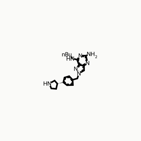 CCCCNc1nc(N)nc2cn(Cc3ccc([C@@H]4CCNC4)cc3)nc12